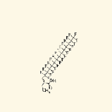 CCC(=CC(F)(F)C(F)(F)C(F)(F)C(F)(F)C(F)(F)C(F)(F)C(F)(F)C(F)(F)C(F)(F)C(F)(F)C(F)(F)C(F)(F)C(F)(F)F)C(=O)O